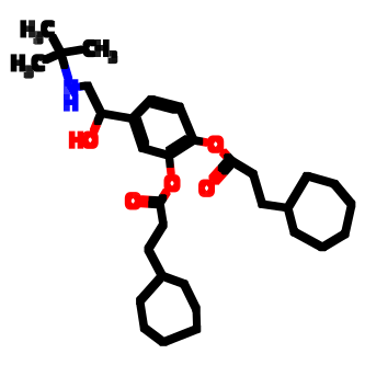 CC(C)(C)NCC(O)c1ccc(OC(=O)CCC2CCCCCC2)c(OC(=O)CCC2CCCCCC2)c1